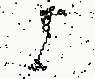 CCC1C(=O)NC2=Nc3ccc(OCCCCCCCCOC(C)=O)cc3CN21